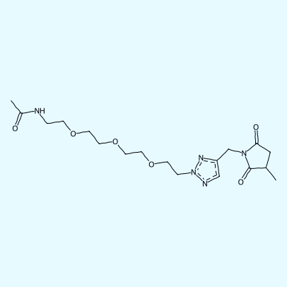 CC(=O)NCCOCCOCCOCCn1ncc(CN2C(=O)CC(C)C2=O)n1